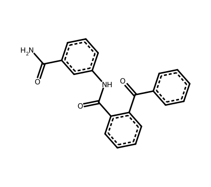 NC(=O)c1cccc(NC(=O)c2ccccc2C(=O)c2ccccc2)c1